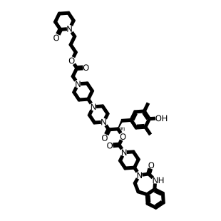 Cc1cc(C[C@@H](OC(=O)N2CCC(N3CCc4ccccc4NC3=O)CC2)C(=O)N2CCN(C3CCN(CC(=O)OCCCN4CCCCC4=O)CC3)CC2)cc(C)c1O